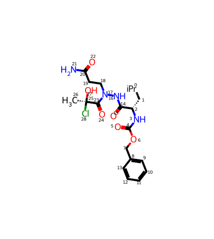 CC(C)C[C@H](NC(=O)OCc1ccccc1)C(=O)NN(CCC(N)=O)C(=O)[C@](C)(O)Cl